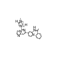 C[C@H](Nc1cc(-c2cc3nccn3c(N3C[C@@H]4C[C@H]3CN4C)n2)ccn1)c1ccccc1